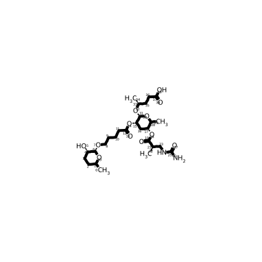 CC1CC[C@H](O)[C@H](OCCCCC(=O)O[C@H]2C[C@@H](OC(=O)[C@H](C)CNC(N)=O)C(C)O[C@H]2O[C@H](C)CCC(=O)O)O1